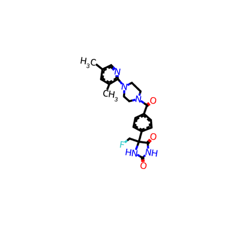 Cc1cnc(N2CCN(C(=O)c3ccc(C4(CF)NC(=O)NC4=O)cc3)CC2)c(C)c1